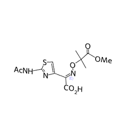 COC(=O)C(C)(C)O/N=C(/C(=O)O)c1csc(NC(C)=O)n1